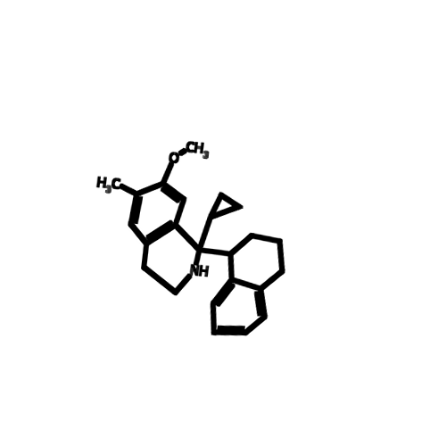 COc1cc2c(cc1C)CCNC2(C1CC1)C1CCCc2ccccc21